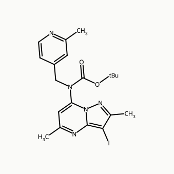 Cc1cc(CN(C(=O)OC(C)(C)C)c2cc(C)nc3c(I)c(C)nn23)ccn1